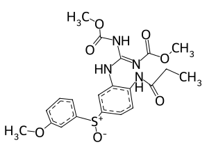 CCC(=O)Nc1ccc([S+]([O-])c2cccc(OC)c2)cc1NC(=NC(=O)OC)NC(=O)OC